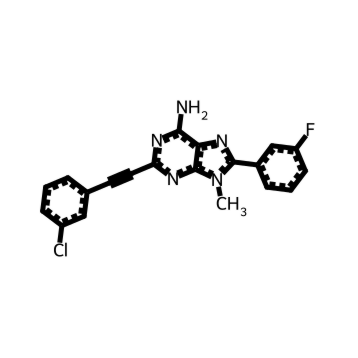 Cn1c(-c2cccc(F)c2)nc2c(N)nc(C#Cc3cccc(Cl)c3)nc21